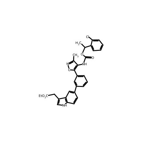 CCOC(=O)Cc1c[nH]c2ccc(-c3cccc(-c4onc(C)c4NC(=O)OC(C)c4ccccc4Cl)c3)cc12